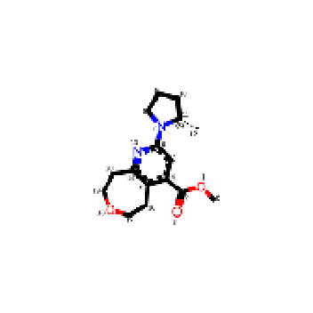 COC(=O)c1cc(N2CCC[C@@H]2C)nc2c1CCOCC2